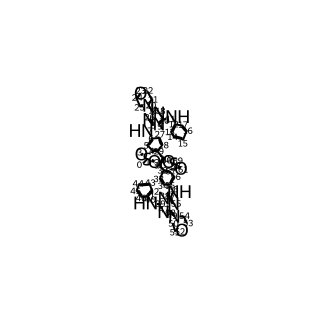 CS(=O)(=O)c1cc(Nc2nc(Nc3ccccc3)nc(N3CCOCC3)n2)ccc1/C=C/c1ccc(Nc2nc(Nc3ccccc3)nc(N3CCOCC3)n2)cc1S(C)(=O)=O